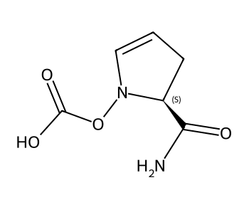 NC(=O)[C@@H]1CC=CN1OC(=O)O